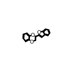 c1ccc2c(c1)OCC(c1cc3ccccc3o1)O2